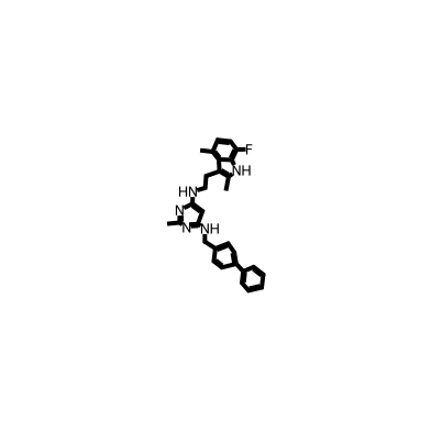 Cc1nc(NCCc2c(C)[nH]c3c(F)ccc(C)c23)cc(NCc2ccc(-c3ccccc3)cc2)n1